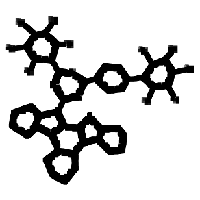 [2H]c1c([2H])c([2H])c(-c2ccc(-c3nc(-c4c([2H])c([2H])c([2H])c([2H])c4[2H])nc(-n4c5ccccc5c5c6ccccc6c6c7ccccc7sc6c54)n3)cc2)c([2H])c1[2H]